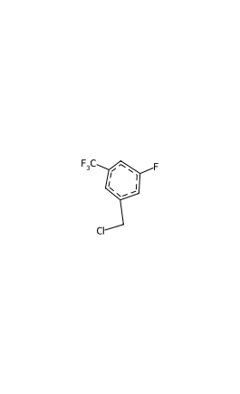 Fc1cc(CCl)cc(C(F)(F)F)c1